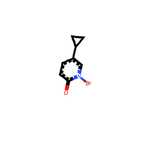 O=c1ccc(C2CC2)cn1Br